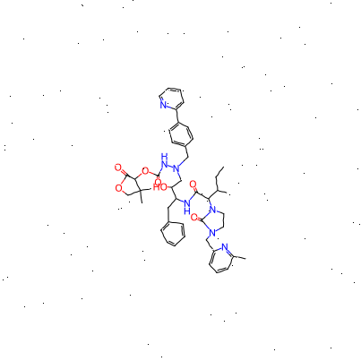 CCC(C)C(C(=O)NC(Cc1ccccc1)C(O)CN(Cc1ccc(-c2ccccn2)cc1)NC(=O)OC1C(=O)OCC1(C)C)N1CCN(Cc2cccc(C)n2)C1=O